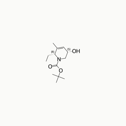 CC[C@@H]1C(C)=C[C@H](O)CN1C(=O)OC(C)(C)C